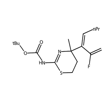 C=C(F)/C(=C\CCC)C1(C)CCSC(NC(=O)OC(C)(C)C)=N1